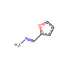 C/N=C/c1ccco1